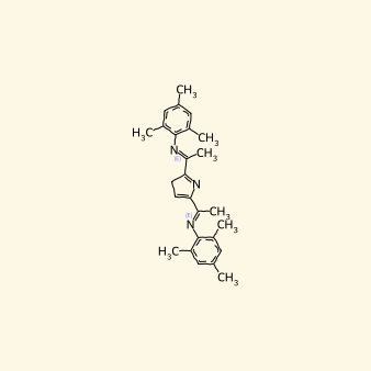 C/C(=N\c1c(C)cc(C)cc1C)C1=CCC(/C(C)=N/c2c(C)cc(C)cc2C)=N1